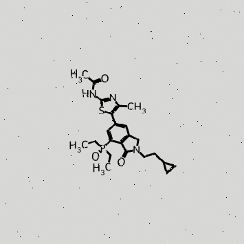 CCP(=O)(CC)c1cc(-c2sc(NC(C)=O)nc2C)cc2c1C(=O)N(CCC1CC1)C2